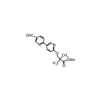 COC(=O)C(C)(C)COc1ccc(-c2ccc(C=O)cn2)cn1